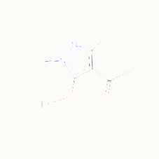 COc1c(C(=O)Cl)c(C)nn1C